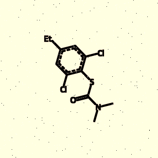 CCc1cc(Cl)c(SC(=O)N(C)C)c(Cl)c1